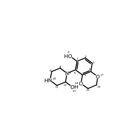 Oc1ccc2c(c1N1CCNCC1O)OCCO2